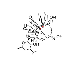 CCCN1C[C@H](C)[C@H]2CC/C(=N\O)CO[C@](C)(C[C@H]1C)[C@H](O[C@@H]1O[C@H](C)C[C@H](N(C)C)[C@H]1O)[C@@H](C)C(=O)[C@@H](C)C(=O)O[C@H](CC)[C@@]2(C)O